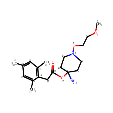 COCCON1CCC(N)(OC(=O)Cc2c(C)cc(C)cc2C)CC1